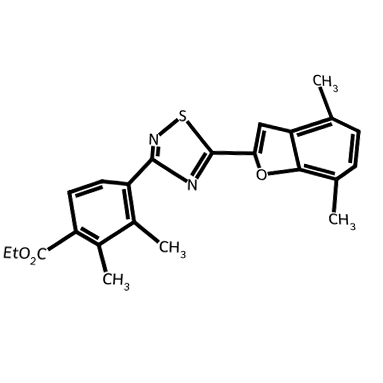 CCOC(=O)c1ccc(-c2nsc(-c3cc4c(C)ccc(C)c4o3)n2)c(C)c1C